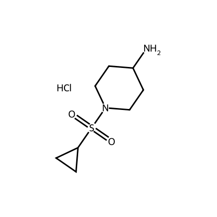 Cl.NC1CCN(S(=O)(=O)C2CC2)CC1